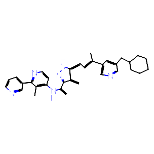 C=C(Nc1ccnc(-c2cccnc2)c1C)c1n[nH]/c(=C/C=C(\C)c2cncc(CC3CCCCC3)c2)c1=C